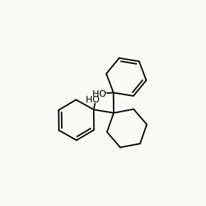 OC1(C2(C3(O)C=CC=CC3)CCCCC2)C=CC=CC1